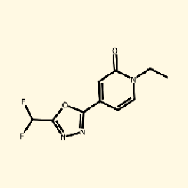 CCn1ccc(-c2nnc(C(F)F)o2)cc1=O